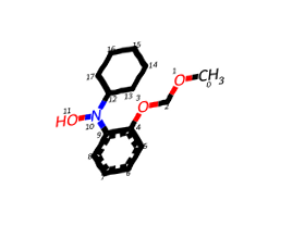 COCOc1ccccc1N(O)C1CCCCC1